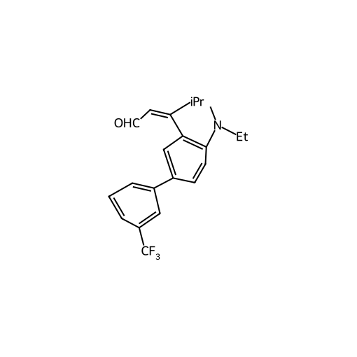 CCN(C)c1ccc(-c2cccc(C(F)(F)F)c2)cc1/C(=C\C=O)C(C)C